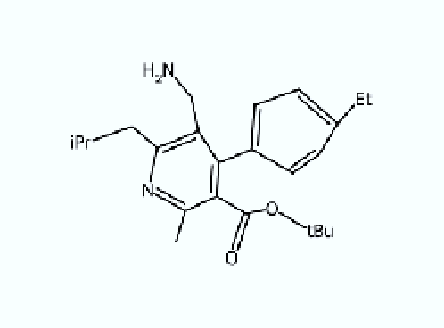 CCc1ccc(-c2c(CN)c(CC(C)C)nc(C)c2C(=O)OC(C)(C)C)cc1